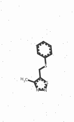 Cc1nnsc1CSc1ccccc1